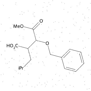 COC(=O)C(OCc1ccccc1)C(CC(C)C)C(=O)O